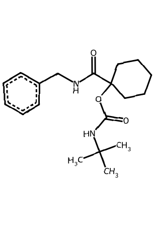 CC(C)(C)NC(=O)OC1(C(=O)NCc2ccccc2)CCCCC1